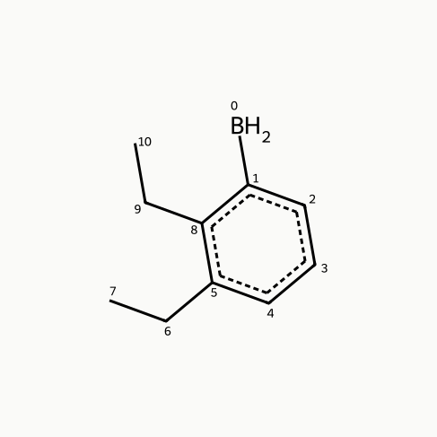 Bc1cccc(CC)c1CC